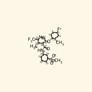 Cc1cc(F)ccc1Oc1nnc(C(F)(F)F)c(C)c1C(=O)Nc1cccc(S(C)(=O)=O)c1